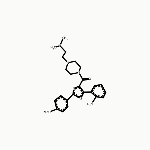 COc1ccc(-c2nc(C(=O)N3CCN(CCN(C)C)CC3)c(-c3ccccc3[N+](=O)[O-])o2)cc1